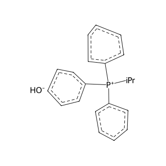 CC(C)[P+](c1ccccc1)(c1ccccc1)c1ccccc1.[OH-]